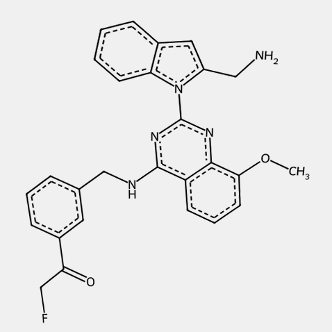 COc1cccc2c(NCc3cccc(C(=O)CF)c3)nc(-n3c(CN)cc4ccccc43)nc12